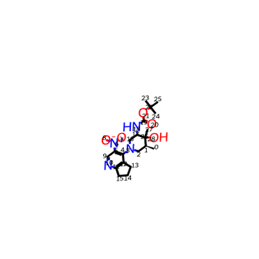 C[C@H]1CN(c2c([N+](=O)[O-])cnc3c2CCC3)C[C@@H](NC(=O)OC(C)(C)C)C1(C)O